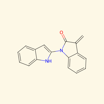 C=C1C(=O)N(c2cc3ccccc3[nH]2)c2ccccc21